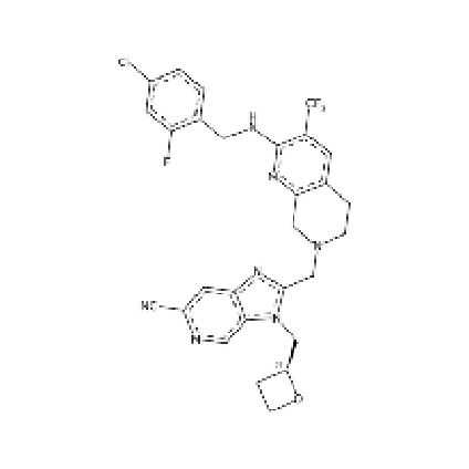 N#Cc1cc2nc(CN3CCc4cc(C(F)(F)F)c(NCc5ccc(Cl)cc5F)nc4C3)n(C[C@@H]3CCO3)c2cn1